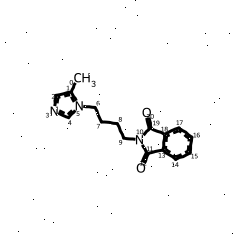 Cc1cncn1CCCCN1C(=O)c2ccccc2C1=O